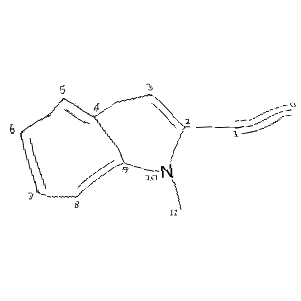 C#Cc1cc2ccccc2n1C